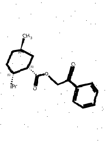 CC(C)[C@@H]1CC[C@@H](C)C[C@@H]1C(=O)OCC(=O)c1ccccc1